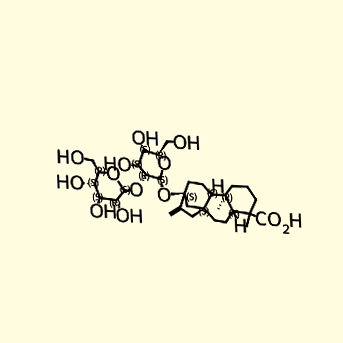 C=C1C[C@]23CC[C@H]4C(C)(C(=O)O)CCC[C@]4(C)[C@H]2CC[C@]1(O[C@@H]1O[C@H](CO)[C@@H](O)[C@H](O)[C@H]1O[C@@H]1O[C@H](CO)[C@@H](O)[C@H](O)[C@H]1O)C3